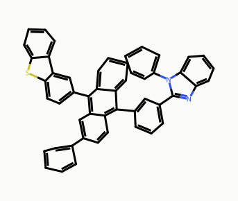 c1ccc(-c2ccc3c(-c4cccc(-c5nc6ccccc6n5-c5ccccc5)c4)c4ccccc4c(-c4ccc5sc6ccccc6c5c4)c3c2)cc1